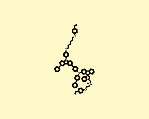 C=Cc1ccc(OCCCCCCOc2ccc(-n3c4ccc(-c5ccccc5)cc4c4cc(-c5ccc(N(c6ccc(-c7ccccc7)cc6)c6ccc7c(c6)C(CCC[Si](C)(C)CCOc6ccc(C=C)cc6)(c6ccccc6)c6ccccc6-7)cc5)ccc43)cc2)cc1